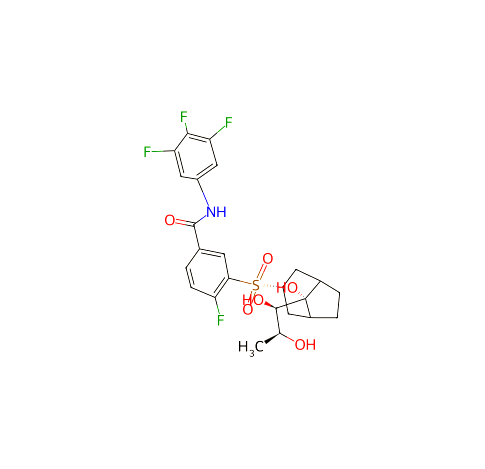 C[C@H](O)[C@@H](O)[C@]1(O)C2CCC1C[C@@H](S(=O)(=O)c1cc(C(=O)Nc3cc(F)c(F)c(F)c3)ccc1F)C2